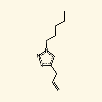 C=CCc1cn(CCCCC)nn1